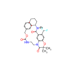 CC(C)N(C(=O)c1cc2c(cc1C(F)F)OC(C)(C)C(=O)N2CCNC(=O)OCc1ccccc1)C1CCCCC1